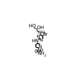 NS(=O)(=O)c1ccc(Nc2ncc(Br)c(NCC(O)CO)n2)cn1